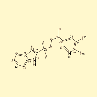 CC(CCC(C)(C)c1nc2ccccc2[nH]1)c1cnc(I)c(I)c1